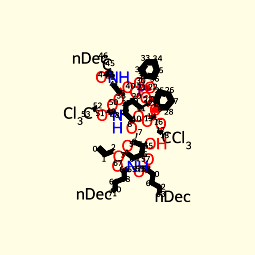 C=CCO[C@H]1O[C@H](CO[C@@H]2O[C@H](COC(=O)OCC(Cl)(Cl)Cl)[C@@H](OP(=O)(Oc3ccccc3)Oc3ccccc3)[C@H](OC(=O)CNC(=O)CCCCCCCCCCC)[C@H]2NC(=O)OCC(Cl)(Cl)Cl)[C@@H](O)[C@H](OC(=O)CCCCCCCCCCCCC)[C@H]1NC(=O)CCCCCCCCCCCCC